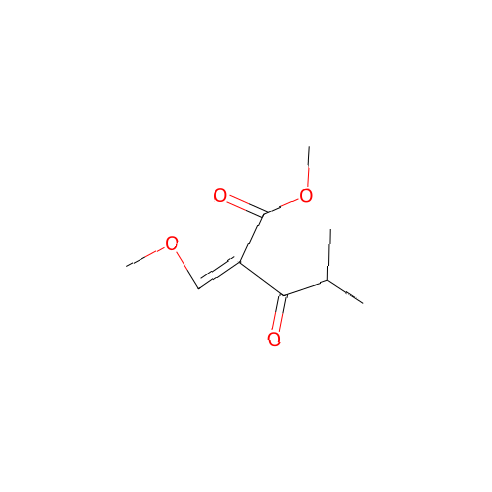 COC=C(C(=O)OC)C(=O)C(C)C